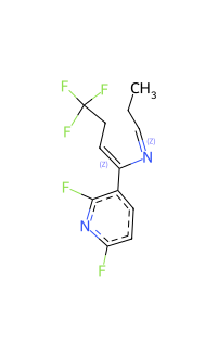 CC/C=N\C(=C/CC(F)(F)F)c1ccc(F)nc1F